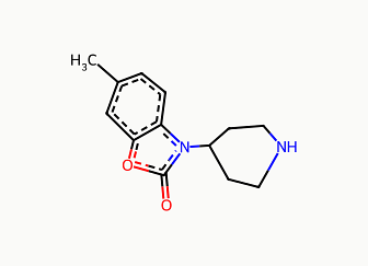 Cc1ccc2c(c1)oc(=O)n2C1CCNCC1